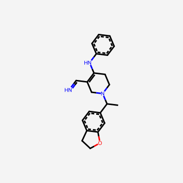 CC(c1ccc2c(c1)OCC2)N1CCC(Nc2ccccc2)=C(C=N)C1